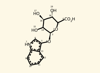 O=C(O)C1O[C@@H](Oc2c[nH]c3ccccc23)C(O)[C@@H](O)[C@@H]1O